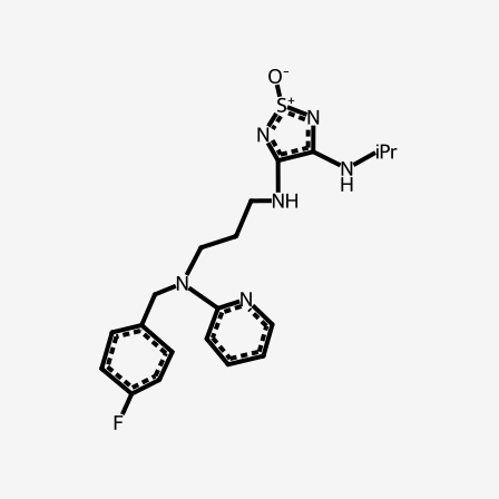 CC(C)Nc1n[s+]([O-])nc1NCCCN(Cc1ccc(F)cc1)c1ccccn1